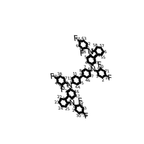 Fc1ccc(N(c2ccc(-c3ccc(N(c4ccc5c(c4)c4ccccc4n5-c4ccc(F)cc4F)c4ccc(F)cc4F)cc3)cc2)c2ccc3c(c2)c2ccccc2n3-c2ccc(F)cc2F)c(F)c1